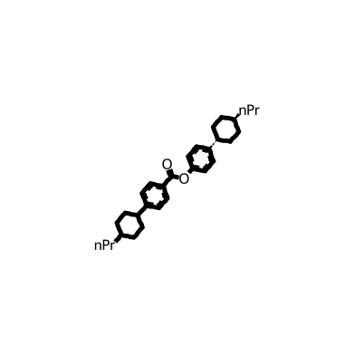 CCCC1CCC(c2ccc(C(=O)Oc3ccc([C@H]4CC[C@H](CCC)CC4)cc3)cc2)CC1